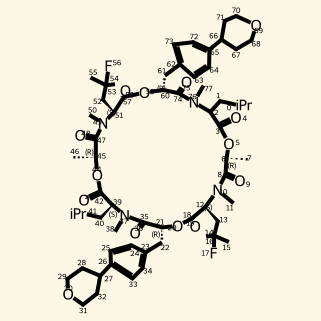 CC(C)CC1C(=O)O[C@H](C)C(=O)N(C)[C@@H](CC(C)(C)F)C(=O)O[C@H](Cc2ccc(C3CCOCC3)cc2)C(=O)N(C)[C@@H](CC(C)C)C(=O)O[C@H](C)C(=O)N(C)[C@@H](CC(C)(C)F)C(=O)O[C@H](Cc2ccc(C3CCOCC3)cc2)C(=O)N1C